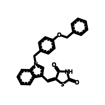 O=C1NC(=O)C(=Cc2cn(Cc3ccc(OCc4ccccc4)cc3)c3ccccc23)S1